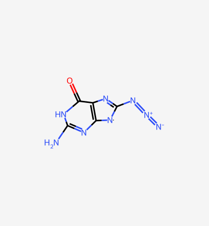 [N-]=[N+]=NC1=Nc2c(nc(N)[nH]c2=O)[N]1